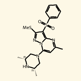 CSc1nn2c(N3C[C@@H](C)N[C@@H](C)C3)cc(C)nc2c1S(=O)(=O)c1ccccc1